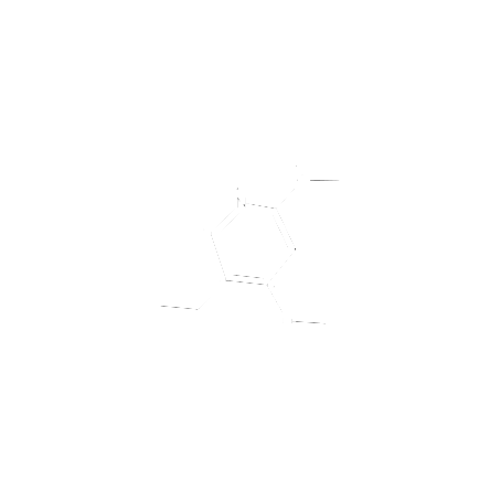 CCc1cnc(OC)cc1OC